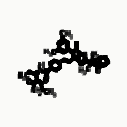 CCC(NC(=O)C1CCN(CCc2c(-c3cc(C)cc(C)c3)[nH]c3sc(C(C)(C)CC4C5CCC4C(=O)N5)cc23)CC1)C(CSC)C(N)=O